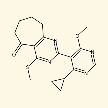 COc1ncnc(C2CC2)c1-c1nc2c(c(SC)n1)C(=O)CCCC2